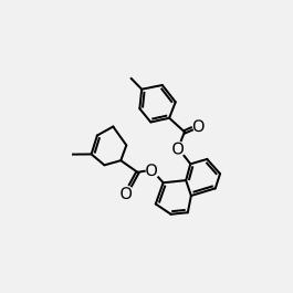 CC1=CCCC(C(=O)Oc2cccc3cccc(OC(=O)c4ccc(C)cc4)c23)C1